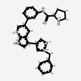 O=C(Nc1cccc(-c2cnc3[nH]cc(-c4cnn(Cc5ccccc5)c4)c3c2)c1)C1CCCN1